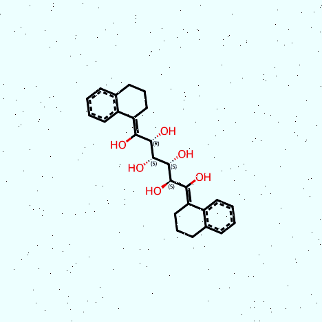 OC(=C1CCCc2ccccc21)[C@@H](O)[C@@H](O)[C@H](O)[C@@H](O)C(O)=C1CCCc2ccccc21